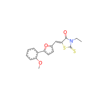 CCN1C(=O)C(=Cc2ccc(-c3ccccc3OC)o2)SC1=S